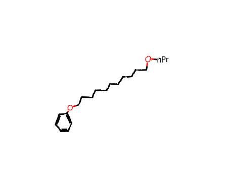 CCCOCCCCCCCCCCCOc1ccccc1